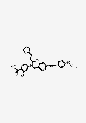 COc1ccc(C#Cc2ccc(CN(C(=O)CCC3CCCC3)c3ccc(C(=O)O)c(O)c3)cc2)cc1